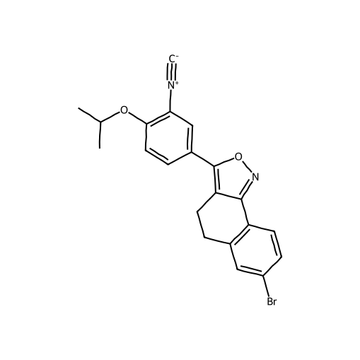 [C-]#[N+]c1cc(-c2onc3c2CCc2cc(Br)ccc2-3)ccc1OC(C)C